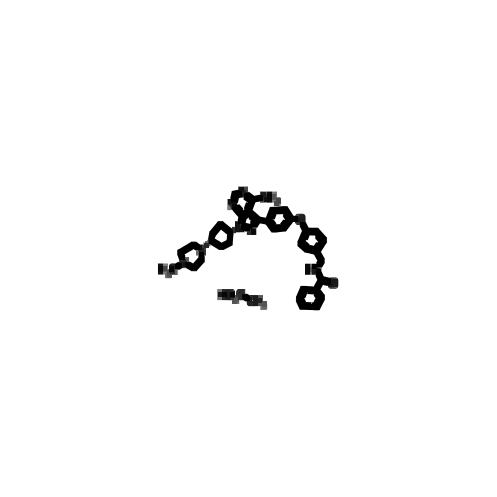 CC(=O)O.CN1CCN([C@H]2CC[C@@H](n3nc(-c4ccc(Oc5ccc(CNC(=O)c6ccccc6)cc5)cc4)c4c(N)ncnc43)CC2)CC1